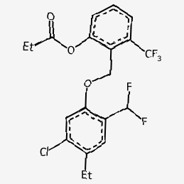 CCC(=O)Oc1cccc(C(F)(F)F)c1COc1cc(Cl)c(CC)cc1C(F)F